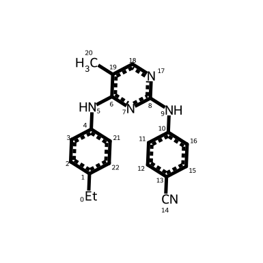 CCc1ccc(Nc2nc(Nc3ccc(C#N)cc3)ncc2C)cc1